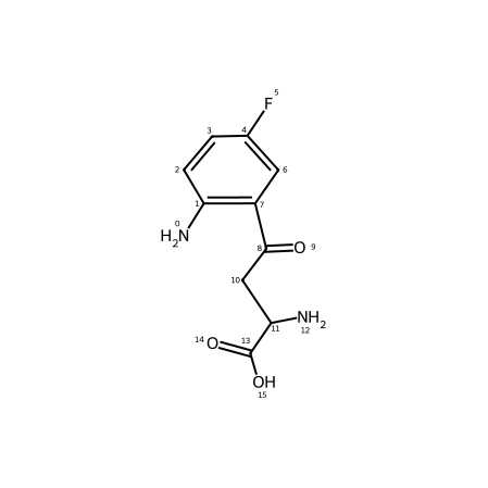 Nc1ccc(F)cc1C(=O)CC(N)C(=O)O